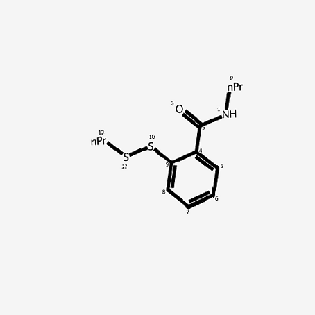 CCCNC(=O)c1ccccc1SSCCC